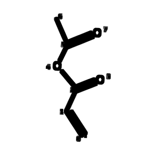 [CH]=CC(=O)OC(C)=O